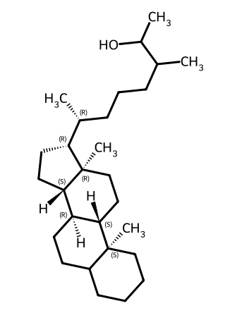 CC(O)C(C)CCC[C@@H](C)[C@H]1CC[C@H]2[C@@H]3CCC4CCCC[C@]4(C)[C@H]3CC[C@]12C